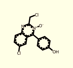 [O-][n+]1c(CCl)nc2ccc(Cl)cc2c1-c1ccc(O)cc1